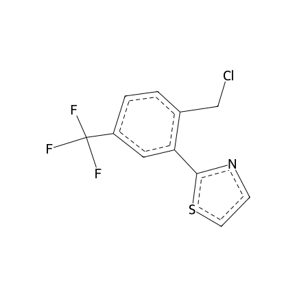 FC(F)(F)c1ccc(CCl)c(-c2nccs2)c1